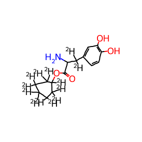 [2H]C([2H])(c1ccc(O)c(O)c1)C(N)C(=O)OC1([2H])C([2H])([2H])C([2H])([2H])C([2H])([2H])C([2H])([2H])C1([2H])[2H]